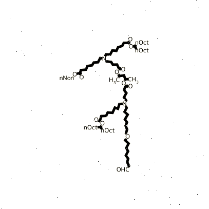 CCCCCCCCCOC(=O)CCCCCCCN(CCCCCCCC(=O)OC(CCCCCCCC)CCCCCCCC)CCCCC(=O)OC(C)CC(C)OC(=O)CCCCN(CCCCCCCCOCCCCCCCCC=O)CCCCCCCC(=O)OC(CCCCCCCC)CCCCCCCC